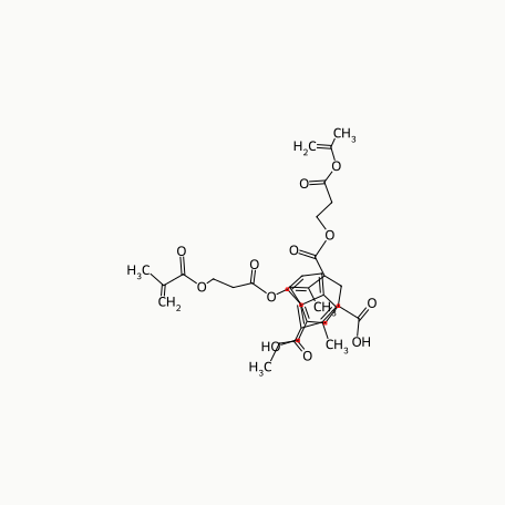 C=C(C)OC(=O)CCOC(=O)C1CC(C(=O)O)C\C(CCC)=C(C2=C\C=C(OC(=O)CCOC(=O)C(=C)C)/C=C(C(=O)O)/C(C)=C\2)\C=C\1C